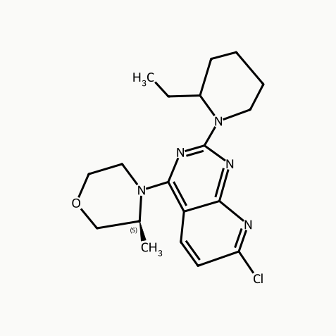 CCC1CCCCN1c1nc(N2CCOC[C@@H]2C)c2ccc(Cl)nc2n1